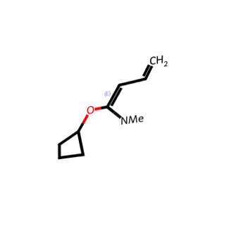 C=C/C=C(\NC)OC1CCC1